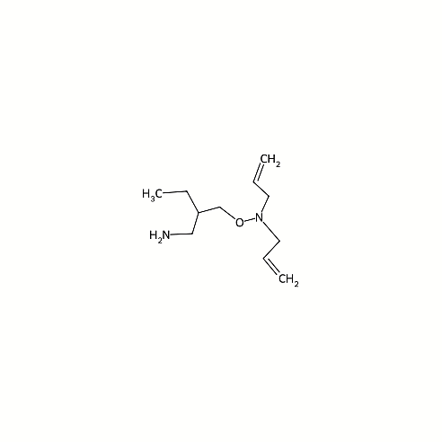 C=CCN(CC=C)OCC(CC)CN